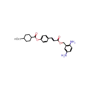 CCCCCCCCC1CCC(C(=O)Oc2ccc(/C=C/C(=O)OCc3cc(N)ccc3N)cc2)CC1